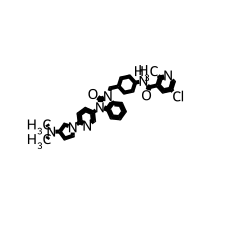 Cc1ncc(Cl)cc1C(=O)NC1CCC(Cn2c(=O)n(-c3ccc(N4CCC(N(C)C)C4)nc3)c3ccccc32)CC1